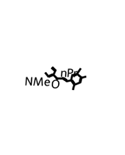 C=C/C(C(=O)/C(=C/c1cc(C)c(C)cc1C)CCC)=C(\C)NC